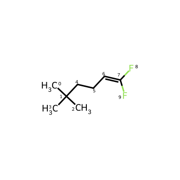 CC(C)(C)CCC=C(F)F